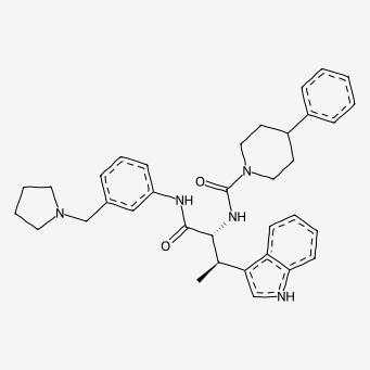 C[C@H](c1c[nH]c2ccccc12)[C@@H](NC(=O)N1CCC(c2ccccc2)CC1)C(=O)Nc1cccc(CN2CCCC2)c1